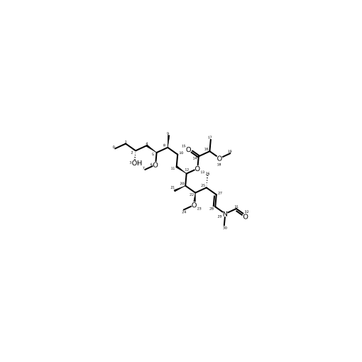 CC[C@@H](O)C[C@H](OC)[C@@H](C)CC[C@@H](OC(=O)C(C)OC)[C@H](C)[C@H](OC)[C@H](C)/C=C/N(C)C=O